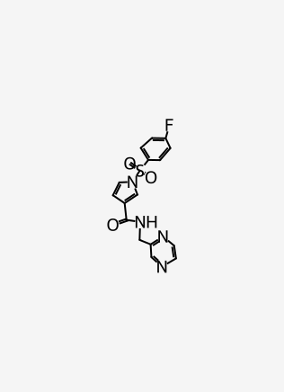 O=C(NCc1cnccn1)c1ccn(S(=O)(=O)c2ccc(F)cc2)c1